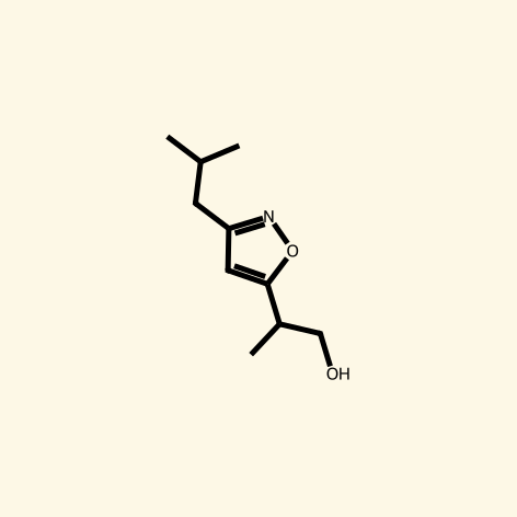 CC(C)Cc1cc(C(C)CO)on1